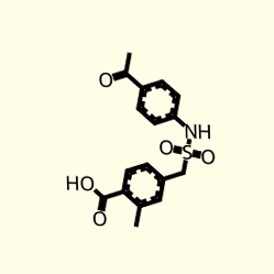 CC(=O)c1ccc(NS(=O)(=O)Cc2ccc(C(=O)O)c(C)c2)cc1